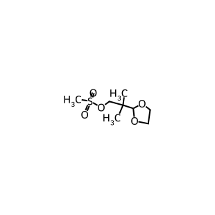 CC(C)(COS(C)(=O)=O)C1OCCO1